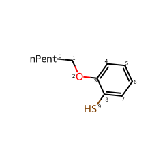 CCCCCCOc1ccccc1S